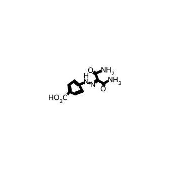 NC(=O)C(=NNc1ccc(C(=O)O)cc1)C(N)=O